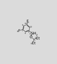 CCC(CC)O[SiH2]c1cc(F)cc(F)c1